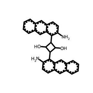 Nc1ccc2cc3ccccc3cc2c1C1C(O)C(c2c(N)ccc3cc4ccccc4cc23)C1O